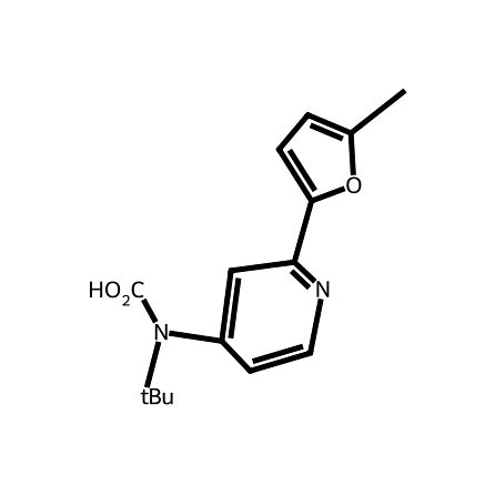 Cc1ccc(-c2cc(N(C(=O)O)C(C)(C)C)ccn2)o1